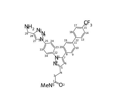 CNC(=O)CCc1cc(-c2ccc(-c3ccc(C(F)(F)F)cc3)cc2)n(-c2ccc(-n3cc(CN)nn3)cc2)n1